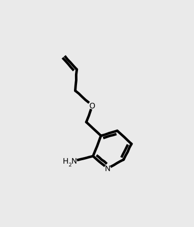 C=CCOCc1cccnc1N